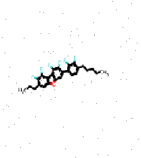 CCCCCc1ccc(-c2cc3oc4cc(CCC)c(F)c(F)c4c3c(F)c2F)c(F)c1F